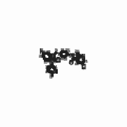 Cc1ccc(-n2c(=O)n(C[C@H]3CC[C@H](NC(=O)c4cc(Cl)cnc4C)CC3)c3cc(F)ccc32)cn1